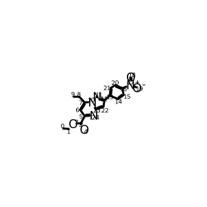 CCOC(=O)c1cc(CC)n2nc(-c3ccc([N+](=O)[O-])cc3)cc2n1